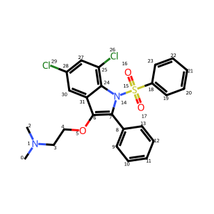 CN(C)CCOc1c(-c2ccccc2)n(S(=O)(=O)c2ccccc2)c2c(Cl)cc(Cl)cc12